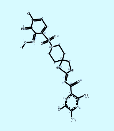 CO/N=C1\C(=N)C(Cl)=CC=C1S(=O)(=O)N1CCC2(CC1)CN/C(=N\C(=O)c1nc(Cl)c(N)nc1N)N2